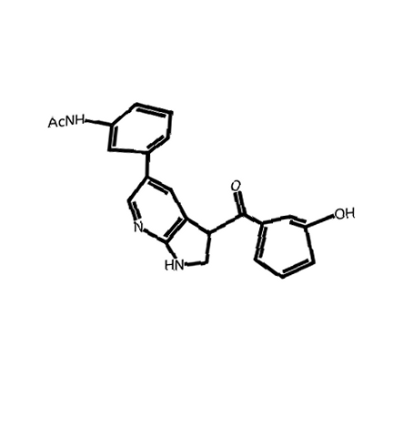 CC(=O)Nc1cccc(-c2cnc3c(c2)C(C(=O)c2cccc(O)c2)CN3)c1